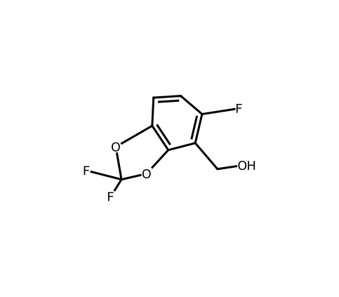 OCc1c(F)ccc2c1OC(F)(F)O2